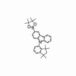 CC1(C)CC(C)(C)c2c(-n3c4ccccc4c4cc(B5OC(C)(C)C(C)(C)O5)ccc43)cccc21